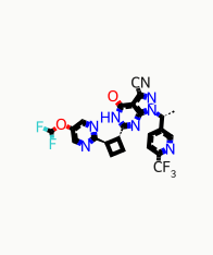 C[C@H](c1ccc(C(F)(F)F)nc1)n1nc(C#N)c2c(=O)[nH]c([C@@H]3CC[C@H]3c3ncc(OC(F)F)cn3)nc21